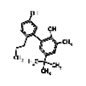 CCCc1ccc(O)cc1-c1cc(C(C)(C)C)cc(C)c1O